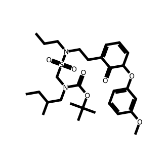 CCCN(CCC1=CC=CC(Oc2cccc(OC)c2)C1=O)S(=O)(=O)CN(CC(C)CC)C(=O)OC(C)(C)C